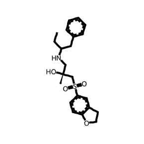 CC[C](Cc1ccccc1)NC[C@@](C)(O)CS(=O)(=O)c1ccc2c(c1)CCO2